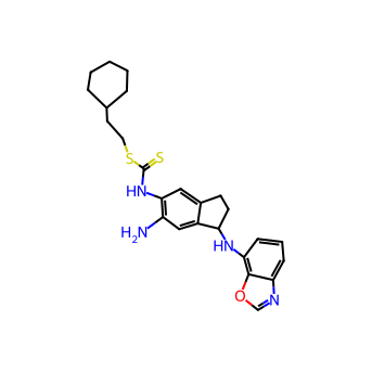 Nc1cc2c(cc1NC(=S)SCCC1CCCCC1)CCC2Nc1cccc2ncoc12